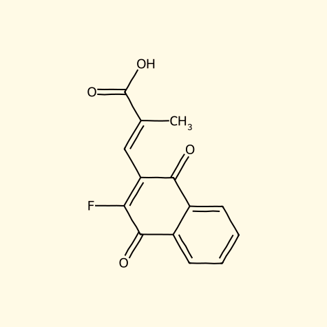 CC(=CC1=C(F)C(=O)c2ccccc2C1=O)C(=O)O